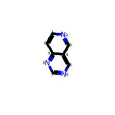 [c]1cncc2cncnc12